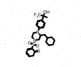 CC(O)(c1ccc(N2CCN(S(=O)(=O)C3=CC=CCC3=S)CC2CC2CCCCC2)cc1)C(F)(F)F